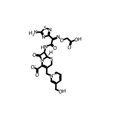 Nc1nc(/C(=N/OCC(=O)O)C(=O)NC2C(=O)N3C(C(=O)[O-])=C(C[n+]4cccc(CO)c4)CS[C@H]23)ns1